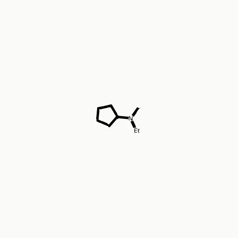 [CH2]N(CC)C1CCCC1